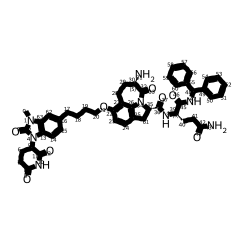 Cn1c(=O)n(C2CCC(=O)NC2=O)c2ccc(CCCCOc3ccc4c5c3CC[C@H](N)C(=O)N5[C@H](C(=O)N[C@@H](CCC(N)=O)C(=O)NC(c3ccccc3)c3ccccc3)C4)cc21